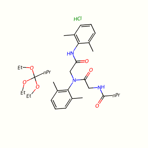 CCCC(=O)NCC(=O)N(CC(=O)Nc1c(C)cccc1C)c1c(C)cccc1C.CCCC(OCC)(OCC)OCC.Cl